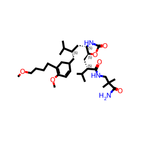 COCCCCC1=C(OC)C=CC(C[C@@H](C[C@@H]2NC(=O)O[C@H]2C[C@H](C(=O)NCC(C)(C)C(N)=O)C(C)C)C(C)C)C1